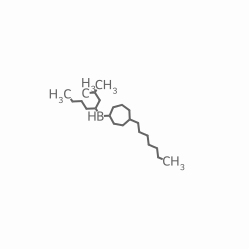 CCCCCCCC1CCCC(BC(CCCC)CC(C)C)CC1